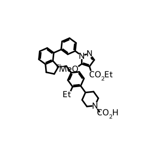 CCOC(=O)c1cnn(-c2cccc(-c3cccc4c3[C@@H](Cc3ccc(C5CCN(C(=O)O)CC5)c(CC)c3)CC4)c2)c1OC